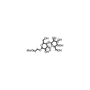 COCCOC1OC(CO)[C@@H](O[C@@H]2OC(CO)[C@H](O)[C@H](O)C2O)[C@@H](O)C1O